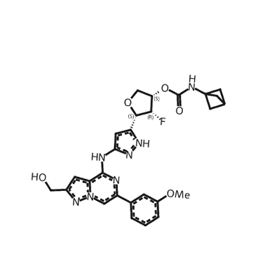 COc1cccc(-c2cn3nc(CO)cc3c(Nc3cc([C@@H]4OC[C@H](OC(=O)NC56CC(C5)C6)[C@@H]4F)[nH]n3)n2)c1